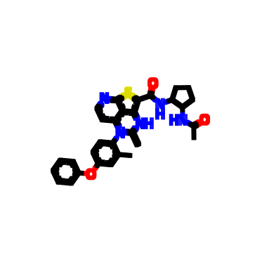 C=c1[nH]c2c(C(=O)NC3CCCC3NC(C)=O)sc3nccc(c32)n1-c1ccc(Oc2ccccc2)cc1C